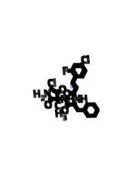 CC(NC(=O)C(CC1CCCCC1)NC(=O)/C=C/c1ccc(Cl)cc1F)(C(N)=O)C(=O)CCl